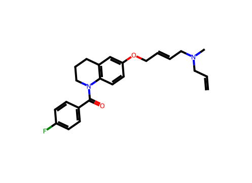 C=CCN(C)CC=CCOc1ccc2c(c1)CCCN2C(=O)c1ccc(F)cc1